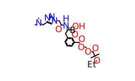 CCOC(C)(C)C(=O)OCOC(=O)c1cccc2c1OB(O)[C@@H](NC(=O)Cn1cc(CN(C)C)nn1)C2